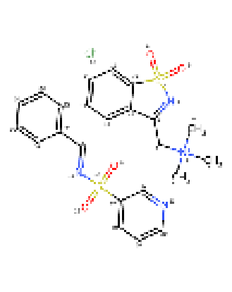 C[N+](C)(C)CC1=NS(=O)(=O)c2ccccc21.O=S(=O)(N=Cc1ccccc1)c1cccnc1.[Cl-]